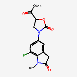 CCCN1C(=O)Cc2cc(N3CC(C(=O)OC)OC3=O)cc(F)c21